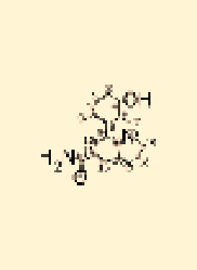 Cc1ccc(O)c(C)c1-c1cc(C(N)=O)cc2cccnc12